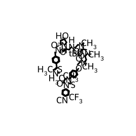 Cc1ncsc1-c1ccc(CNC(=O)[C@@H]2C[C@@H](O)CN2C(=O)C(NC(=O)CN(C)C(=O)CN(C)C(=O)CN(C)C(=O)COc2ccc(N3C(=S)N(c4ccc(C#N)c(C(F)(F)F)c4)C(=O)C3(C)C)cc2)C(C)(C)C)cc1